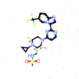 C[C@@H]1[C@H](CNS(C)(=O)=O)N(C2CC2)[C@H](C)CN1c1ccnc(-c2cnc3ccc(C(F)(F)F)cn23)n1